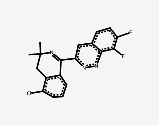 CC1(C)Cc2c(Cl)cccc2C(c2cc3ccc(F)c(F)c3nn2)=N1